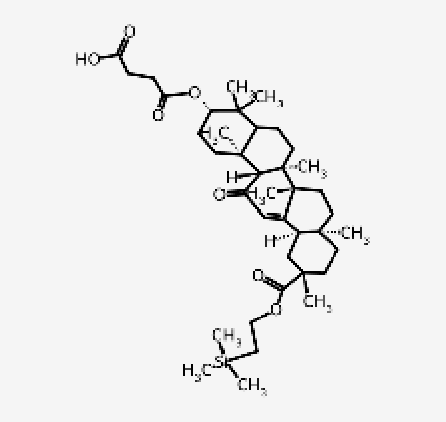 CC1(C)C2CC[C@]3(C)[C@H](C(=O)C=C4[C@@H]5C[C@@](C)(C(=O)OCC[Si](C)(C)C)CC[C@]5(C)CC[C@]43C)[C@@]2(C)CC[C@@H]1OC(=O)CCC(=O)O